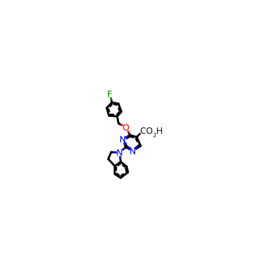 O=C(O)c1cnc(N2CCc3ccccc32)nc1OCc1ccc(F)cc1